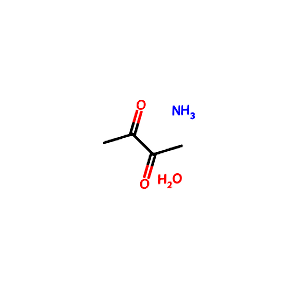 CC(=O)C(C)=O.N.O